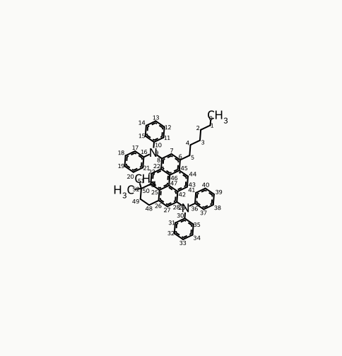 CCCCCCc1cc(N(c2ccccc2)c2ccccc2)c2cc3c4c(cc(N(c5ccccc5)c5ccccc5)c5ccc1c2c54)CCC3(C)C